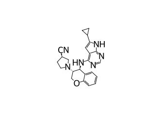 N#C[C@@H]1CCN([C@H]2COc3ccccc3[C@@H]2Nc2ncnc3[nH]c(C4CC4)cc23)C1